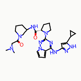 CN(C)CC(=O)N1CCCC(NC(=O)[C@@H]2CCCN2c2nc(Nc3cc(C4CC4)[nH]n3)c3cccn3n2)C1